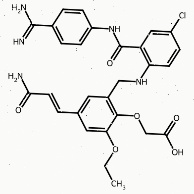 CCOc1cc(/C=C/C(N)=O)cc(CNc2ccc(Cl)cc2C(=O)Nc2ccc(C(=N)N)cc2)c1OCC(=O)O